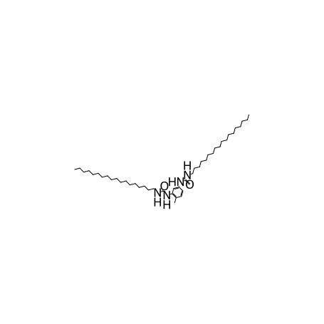 CCCCCCCCCCCCCCCCCCNC(=O)Nc1ccc(C)c(NC(=O)NCCCCCCCCCCCCCCCCCC)c1